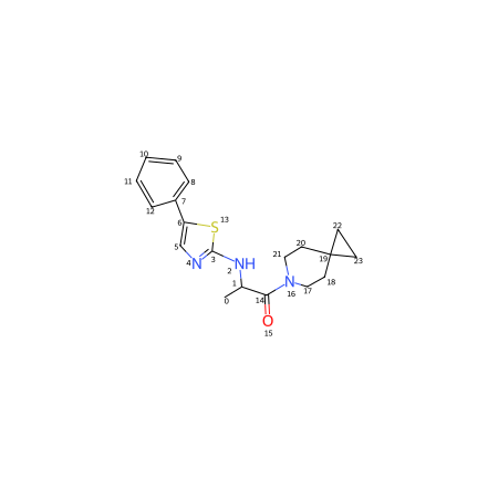 CC(Nc1ncc(-c2ccccc2)s1)C(=O)N1CCC2(CC1)CC2